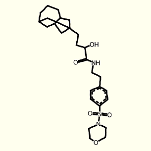 O=C(NCCc1ccc(S(=O)(=O)N2CCOCC2)cc1)C(O)CCC12CC3CCCC(C1)C(C3)C2